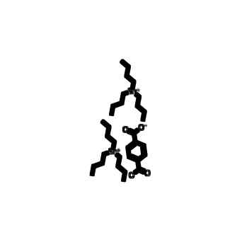 CCC[CH2][Sn+]([CH2]CCC)[CH2]CCC.CCC[CH2][Sn+]([CH2]CCC)[CH2]CCC.O=C([O-])c1ccc(C(=O)[O-])cc1